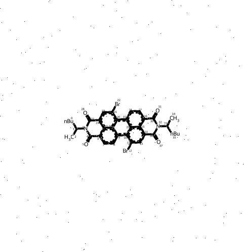 CCCCC(C)N1C(=O)c2ccc3c4c(Br)cc5c6c(ccc(c7c(Br)cc(c2c37)C1=O)c64)C(=O)N(C(C)CCCC)C5=O